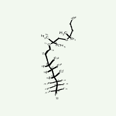 CC(C)(CCO)OCC(C)(C)OCCC(F)(F)C(F)(F)C(F)(F)C(F)(F)C(F)(F)C(F)(F)F